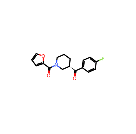 O=C(c1ccc(F)cc1)[C@H]1CCCN(C(=O)c2ccco2)C1